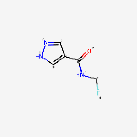 O=C(NCF)c1cn[nH]c1